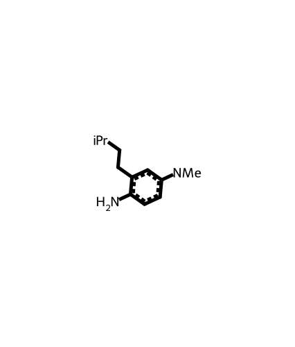 CNc1ccc(N)c(CCC(C)C)c1